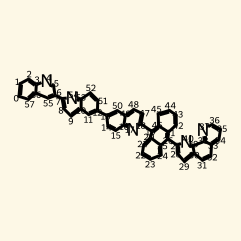 c1ccc2ncc(-c3ccc4cc(-c5ccc6nc(-c7c8ccccc8c(-c8ccc9ccc%10cccnc%10c9n8)c8ccccc78)ccc6c5)ccc4n3)cc2c1